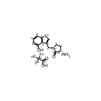 N[C@H]1CCN(Cc2csc3ccnc(O)c23)C1=O.O=C(O)C(F)(F)F